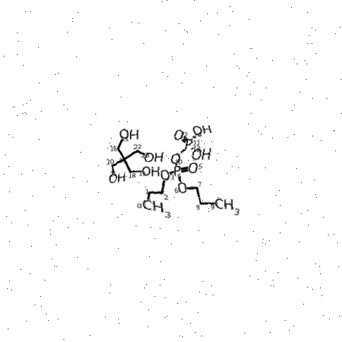 CCCOP(=O)(OCCC)OP(=O)(O)O.OCC(CO)(CO)CO